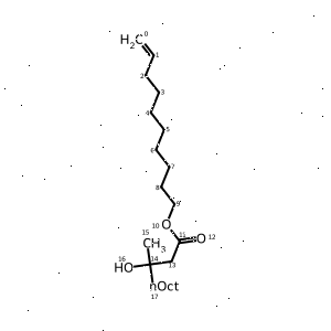 C=CCCCCCCCCOC(=O)CC(C)(O)CCCCCCCC